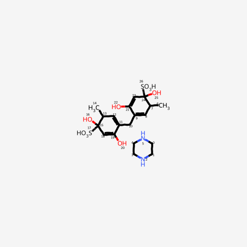 C1CNCCN1.CC1C=C(CC2=CC(C)C(O)(S(=O)(=O)O)C=C2O)C(O)=CC1(O)S(=O)(=O)O